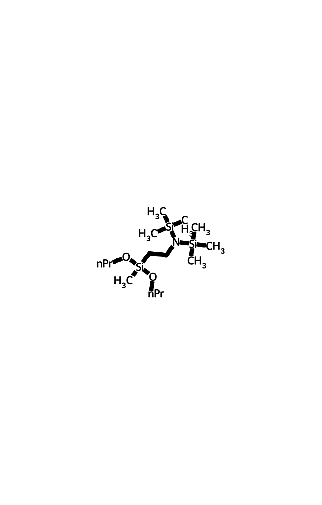 CCCO[Si](C)(CCN([Si](C)(C)C)[Si](C)(C)C)OCCC